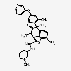 Cc1cc(Oc2cccnc2)ccc1C1(N)C(=O)C(N)c2c(C(=O)NC3CCCN(C)C3)sc3c(N)ccc1c23